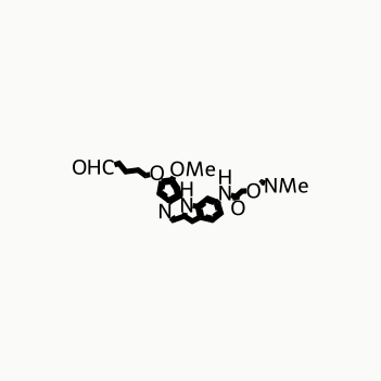 CNCOCC(=O)Nc1ccc2c(c1)NC(/C=N\c1ccc(OC)c(OCCCCC=O)c1)C2